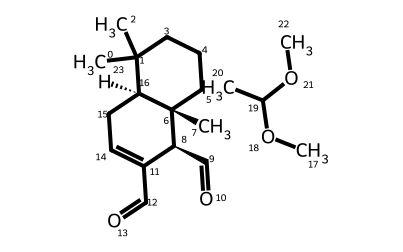 CC1(C)CCC[C@]2(C)[C@@H](C=O)C(C=O)=CC[C@@H]12.COC(C)OC